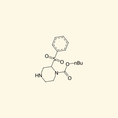 CCCCOC(=O)N1CCNCC1S(=O)(=O)c1ccccc1